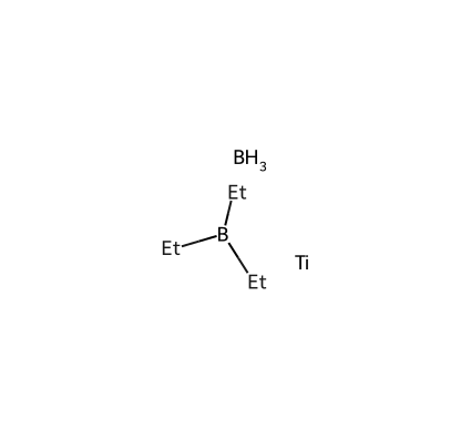 B.CCB(CC)CC.[Ti]